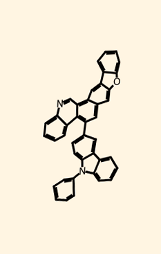 c1ccc(-n2c3ccccc3c3cc(-c4cc5cc6oc7ccccc7c6cc5c5cnc6ccccc6c45)ccc32)cc1